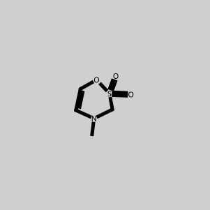 CN1C=COS(=O)(=O)C1